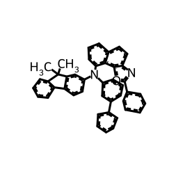 CC1(C)c2ccccc2-c2ccc(N(c3cccc(-c4ccccc4)c3)c3cccc4ccc5nc(-c6ccccc6)oc5c34)cc21